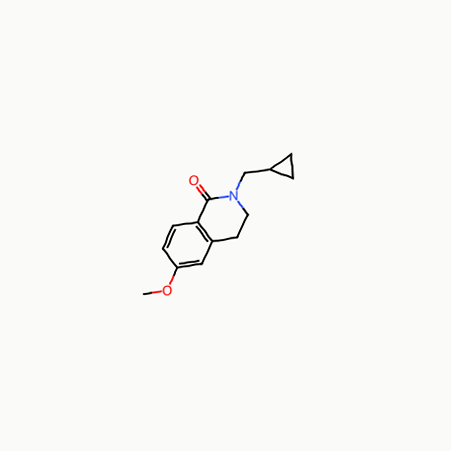 COc1ccc2c(c1)CCN(CC1CC1)C2=O